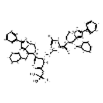 CC(C)(C)OC(=O)N[C@@H](CSSC[C@H](NC(=O)O)C(=O)N1CCn2nc(-c3ccccc3)cc2[C@@H]1CC1CCCCC1)C(=O)N1CCn2nc(-c3ccccc3)cc2[C@@H]1CC1CCCCC1